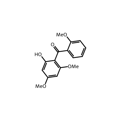 COc1cc(O)c(C(=O)c2ccccc2OC)c(OC)c1